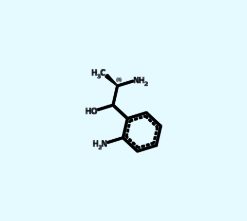 C[C@@H](N)C(O)c1ccccc1N